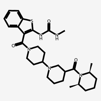 CNC(=O)Nc1sc2ccccc2c1C(=O)N1CCC(N2CCCC(C(=O)N3[C@H](C)CCC[C@@H]3C)C2)CC1